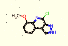 COc1cccc2c1nc(Cl)c1n[nH]cc12